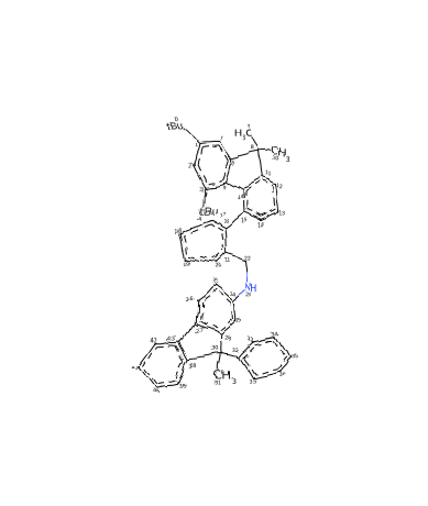 CC(C)(C)c1cc(C(C)(C)C)c2c(c1)C(C)(C)c1cccc(-c3ccccc3CNc3ccc4c(c3)C(C)(c3ccccc3)c3ccccc3-4)c1-2